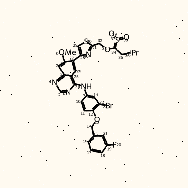 COc1cc2ncnc(Nc3ccc(OCc4cccc(F)c4)c(Br)c3)c2cc1-c1csc(COC(CC(C)C)=S(=O)=O)n1